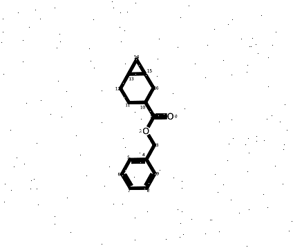 O=C(OCc1ccccc1)C1CCC2CC2C1